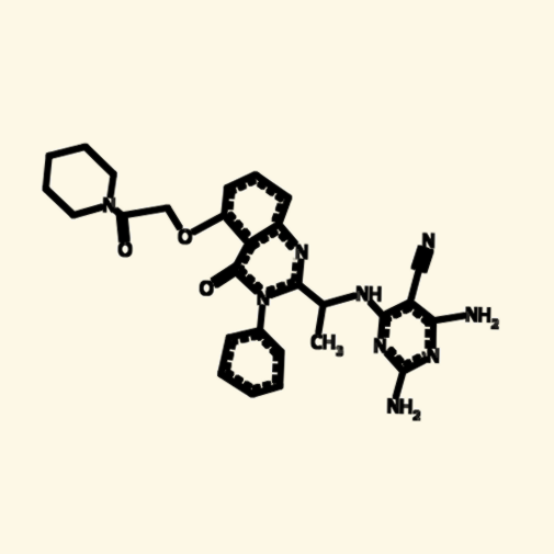 CC(Nc1nc(N)nc(N)c1C#N)c1nc2cccc(OCC(=O)N3CCCCC3)c2c(=O)n1-c1ccccc1